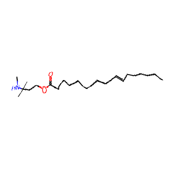 CCCCCC/C=C/CCCCCCCC(=O)OCCC(C)(C)NC